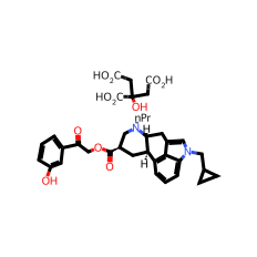 CCCN1C[C@H](C(=O)OCC(=O)c2cccc(O)c2)C[C@@H]2c3cccc4c3c(cn4CC3CC3)C[C@H]21.O=C(O)CC(O)(CC(=O)O)C(=O)O